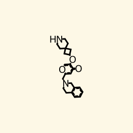 O=c1cc(CN2CCc3ccccc3C2)occ1OC1CC2(CCNCC2)C1